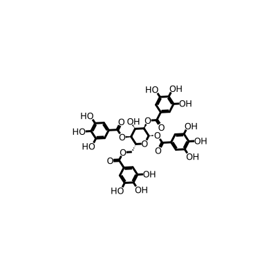 O=C(OC[C@H]1O[C@@H](OC(=O)c2cc(O)c(O)c(O)c2)[C@H](OC(=O)c2cc(O)c(O)c(O)c2)[C@@H](O)[C@@H]1OC(=O)c1cc(O)c(O)c(O)c1)c1cc(O)c(O)c(O)c1